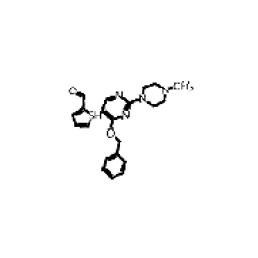 CN1CCN(c2ncc([SH]3C=CC=C3C=O)c(OCc3ccccc3)n2)CC1